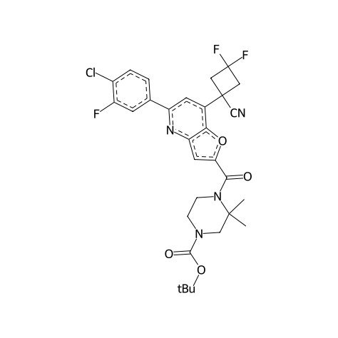 CC(C)(C)OC(=O)N1CCN(C(=O)c2cc3nc(-c4ccc(Cl)c(F)c4)cc(C4(C#N)CC(F)(F)C4)c3o2)C(C)(C)C1